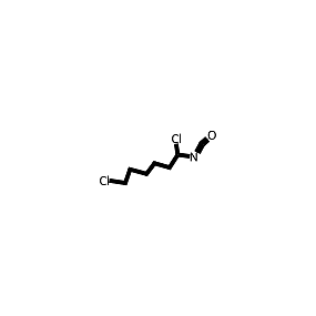 O=C=NC(Cl)CCCCCCl